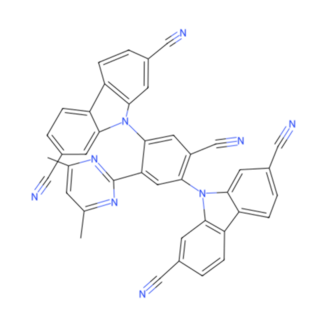 Cc1cc(C)nc(-c2cc(-n3c4cc(C#N)ccc4c4ccc(C#N)cc43)c(C#N)cc2-n2c3cc(C#N)ccc3c3ccc(C#N)cc32)n1